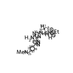 CCS(=O)(=O)NC1CC[C@H]2CN(c3cnc(N)c(-c4nnc(-c5ccc(CNC)cc5)o4)n3)C[C@@H]12